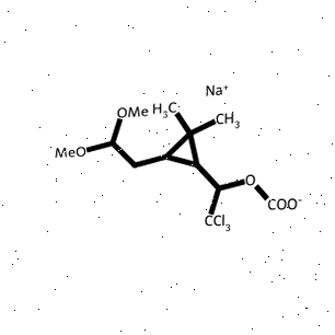 COC(CC1C(C(OC(=O)[O-])C(Cl)(Cl)Cl)C1(C)C)OC.[Na+]